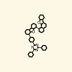 c1ccc(-c2nc(-c3ccccc3)nc(-c3ccc(-c4cccc5c4oc4c(-c6cccc7ccc8c9ccccc9oc8c67)cccc45)cc3)n2)cc1